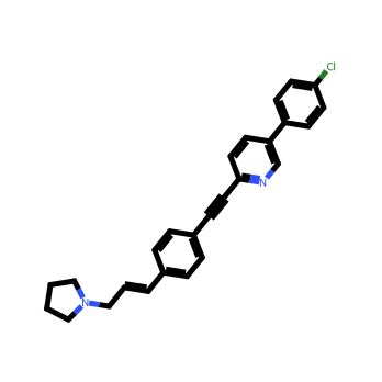 Clc1ccc(-c2ccc(C#Cc3ccc(C=CCN4CCCC4)cc3)nc2)cc1